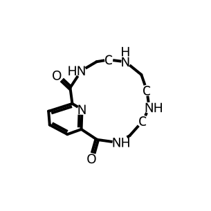 O=C1NCCNCCNCCNC(=O)c2cccc1n2